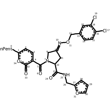 CCCCCc1ccc(C(=O)N2CC(=NOCc3ccc(Cl)c(Cl)c3)CC2C(=O)NCc2ccco2)c(=O)o1